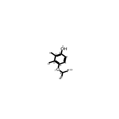 Cc1c(O)ccc(OC(F)F)c1C